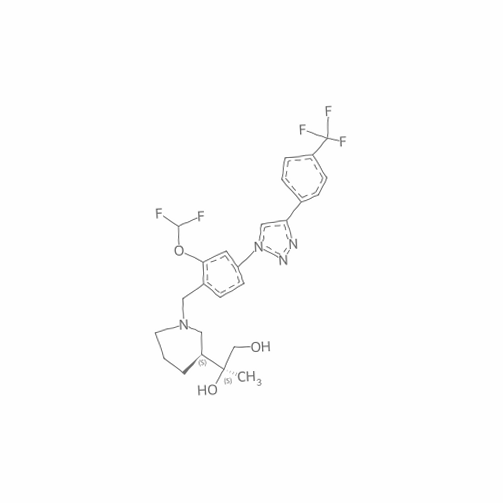 C[C@@](O)(CO)[C@H]1CCCN(Cc2ccc(-n3cc(-c4ccc(C(F)(F)F)cc4)nn3)cc2OC(F)F)C1